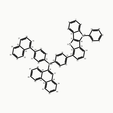 c1ccc(-n2c3ccccc3c3sc4c(-c5ccc(N(c6ccc(-c7cccc8ccccc78)cc6)c6cc7ccccc7c7ccccc67)cc5)cccc4c32)cc1